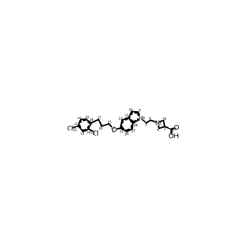 O=C(O)C1CN(CCn2ccc3cc(OCCCc4ccc(Cl)cc4Cl)ccc32)C1